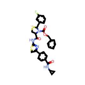 O=C(NC1CC1)c1ccc(-c2csc(NC(=O)C3CSC(c4cccc(F)c4)N3C(=O)OCc3ccccc3)n2)cc1